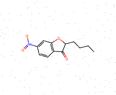 CCCCC1Oc2cc([N+](=O)[O-])ccc2C1=O